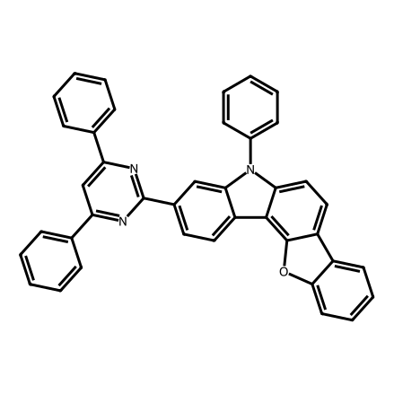 c1ccc(-c2cc(-c3ccccc3)nc(-c3ccc4c5c6oc7ccccc7c6ccc5n(-c5ccccc5)c4c3)n2)cc1